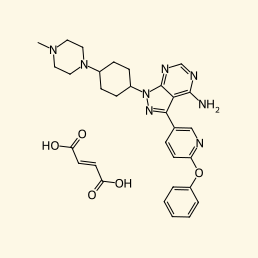 CN1CCN(C2CCC(n3nc(-c4ccc(Oc5ccccc5)nc4)c4c(N)ncnc43)CC2)CC1.O=C(O)C=CC(=O)O